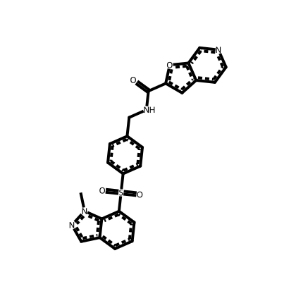 Cn1ncc2cccc(S(=O)(=O)c3ccc(CNC(=O)c4cc5ccncc5o4)cc3)c21